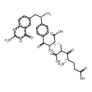 CN(Cc1ccc2nc(N)[nH]c(=O)c2c1)c1ccc(C(=O)N(C)[C@@H](CC(C(=O)O)C(=O)[C@@H](N)CCC(=O)O)C(=O)O)cc1